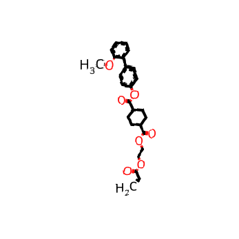 C=CC(=O)OCCOC(=O)C1CCC(C(=O)Oc2ccc(-c3ccccc3OC)cc2)CC1